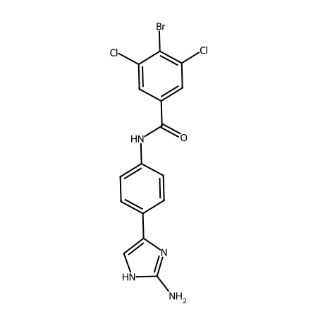 Nc1nc(-c2ccc(NC(=O)c3cc(Cl)c(Br)c(Cl)c3)cc2)c[nH]1